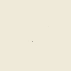 C=C1/C=C(/C)SC/C=N\N1